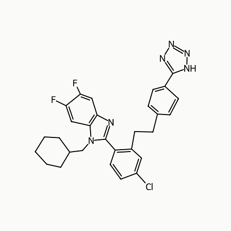 Fc1cc2nc(-c3ccc(Cl)cc3CCc3ccc(-c4nnn[nH]4)cc3)n(CC3CCCCC3)c2cc1F